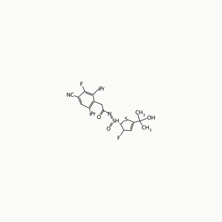 CC(C)c1cc(C#N)c(F)c(C(C)C)c1CC(=O)N=[S@@H](=O)C1SC(C(C)(C)O)=CC1F